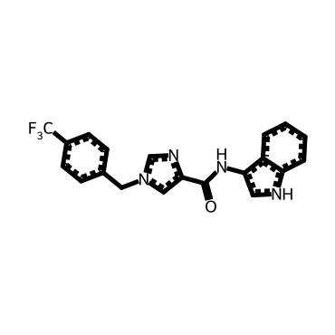 O=C(Nc1c[nH]c2ccccc12)c1cn(Cc2ccc(C(F)(F)F)cc2)cn1